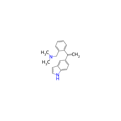 C=C(c1ccc2[nH]ccc2c1)c1ccccc1CN(C)C